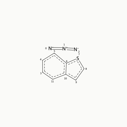 [N-]=[N+]=[N-].c1ccc2sccc2c1